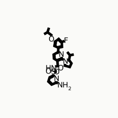 CC(C)COc1cc(F)cc(-c2ccc(C(=O)NS(=O)(=O)c3cccc(N)n3)c(N3CCCC3C(C)C)n2)c1